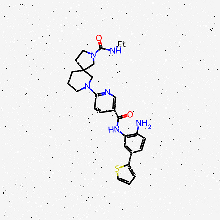 CCNC(=O)N1CCC2(CCCN(c3ccc(C(=O)Nc4cc(-c5cccs5)ccc4N)cn3)C2)C1